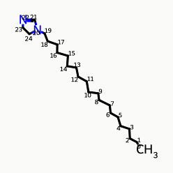 CCCCCCCCCCCCCCCCCCCCN1C=NCC1